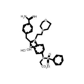 CCOC(=O)CN(c1ccc2c(c1)nc(Cc1ccc(C(=N)N)cc1)n2CCN1CCOCC1)S(=O)(=O)c1ccccc1.Cl.Cl